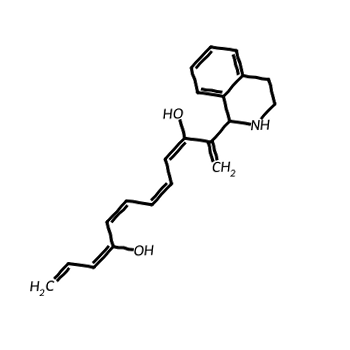 C=C\C=C(O)/C=C\C=C/C=C(/O)C(=C)C1NCCc2ccccc21